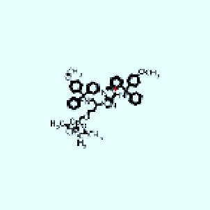 COc1ccc(C(NCC(CCOCP(=O)(OC(C)C)OC(C)C)n2cnc3c(NC(c4ccccc4)(c4ccccc4)c4ccc(OC)cc4)ncnc32)(c2ccccc2)c2ccccc2)cc1